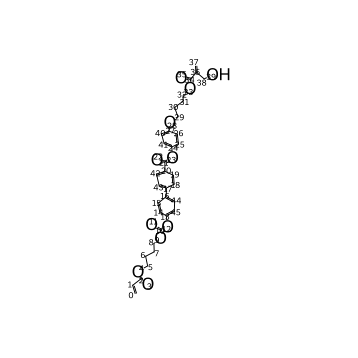 C=CC(=O)OCCCCOC(=O)Oc1ccc(-c2ccc(C(=O)Oc3ccc(OCCCCOC(=O)C(=C)CO)cc3)cc2)cc1